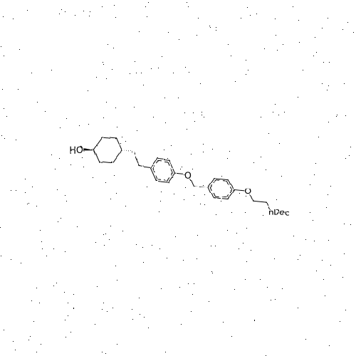 CCCCCCCCCCCCOc1ccc(COc2ccc(CC[C@H]3CC[C@H](O)CC3)cc2)cc1